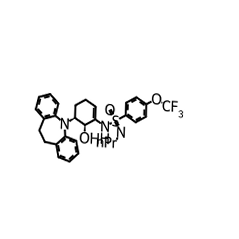 CCCN=S(=O)(NC1=CCC[C@H](N2c3ccccc3CCc3ccccc32)[C@@H]1O)c1ccc(OC(F)(F)F)cc1